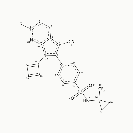 Cc1ccc2c(C#N)c(-c3ccc(S(=O)(=O)NC4(C(F)(F)F)CC4)cc3)n(C3=CC=C3)c2n1